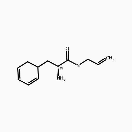 C=CC[N]C(=O)[C@@H](N)CC1C=CC=CC1